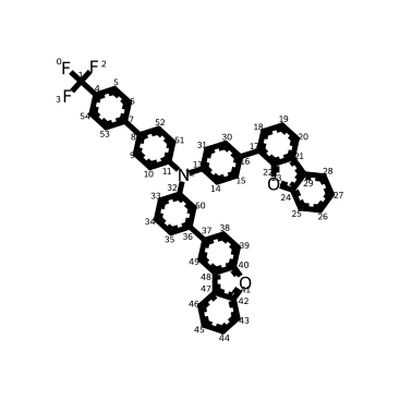 FC(F)(F)c1ccc(-c2ccc(N(c3ccc(-c4cccc5c4oc4ccccc45)cc3)c3cccc(-c4ccc5oc6ccccc6c5c4)c3)cc2)cc1